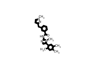 Cc1cc(C)c(-c2cnc(NC(=O)c3cccc(Cc4ccn(C)n4)c3)n2C)cc1C